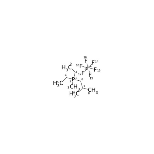 CC[P+](C)(CC)CC(C)C.F[P-](F)(F)(F)(F)F